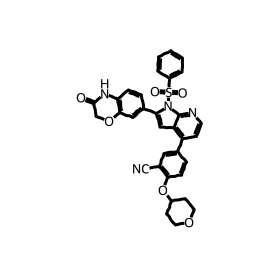 N#Cc1cc(-c2ccnc3c2cc(-c2ccc4c(c2)OCC(=O)N4)n3S(=O)(=O)c2ccccc2)ccc1OC1CCOCC1